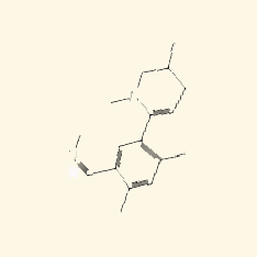 C/N=C\c1cc(C2=CCC(C)CN2C)c(F)cc1C